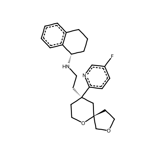 Fc1ccc([C@]2(CCN[C@H]3CCCc4ccccc43)CCO[C@]3(CCOC3)C2)nc1